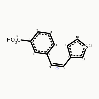 O=C(O)c1cccc(/C=C\c2ccsc2)c1